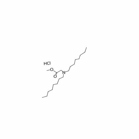 CCCCCCCCN(CCCCCCCC)CC(=O)OC.Cl